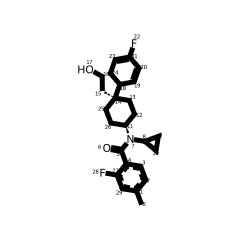 Cc1ccc(C(=O)N(C2CC2)[C@H]2CC[C@](CCO)(C3C=CC(F)=CC3)CC2)c(F)c1